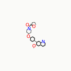 COc1cc2cccnc2cc1-c1ccc(OC2CCN(C(=O)[C@H]3CCCO3)CC2)cc1